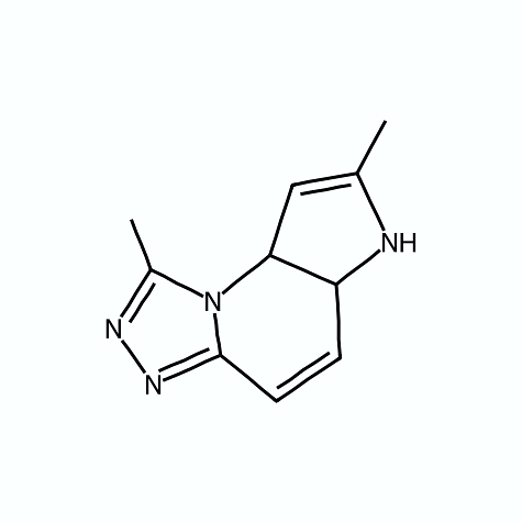 CC1=CC2C(C=Cc3nnc(C)n32)N1